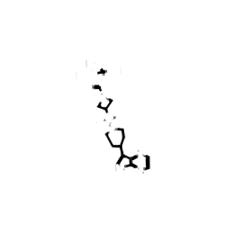 CC(C)(C)OC(=O)N1CC(S(=O)(=O)N2CCC(c3c[nH]c4nccnc34)CC2)C1